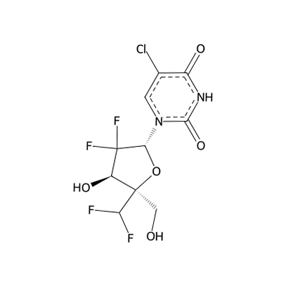 O=c1[nH]c(=O)n([C@@H]2O[C@@](CO)(C(F)F)[C@@H](O)C2(F)F)cc1Cl